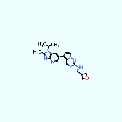 Cc1nc2ncc(-c3ccn4nc(NCC5COC5)ncc34)cc2n1C(C)C